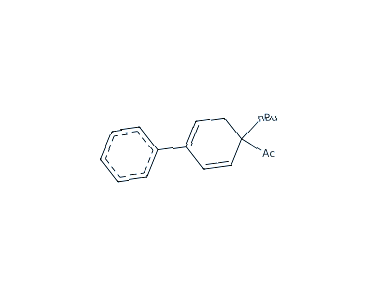 CCCCC1(C(C)=O)C=CC(c2ccccc2)=CC1